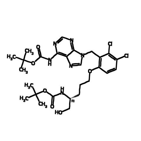 CC(C)(C)OC(=O)Nc1ncnc2c1ncn2Cc1c(OCCC[C@H](CO)NC(=O)OC(C)(C)C)ccc(Cl)c1Cl